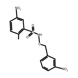 Cc1ccc([N+](=O)[O-])cc1S(=O)(=O)NOCc1cccc([N+](=O)[O-])c1